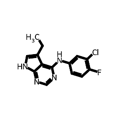 CCc1c[nH]c2ncnc(Nc3ccc(F)c(Cl)c3)c12